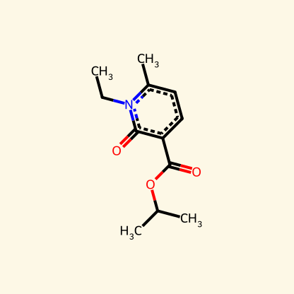 CCn1c(C)ccc(C(=O)OC(C)C)c1=O